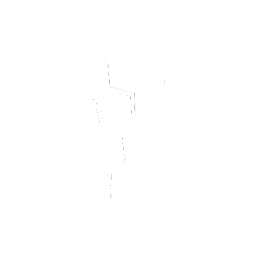 CCNCc1cnc(Cl)c(C)c1